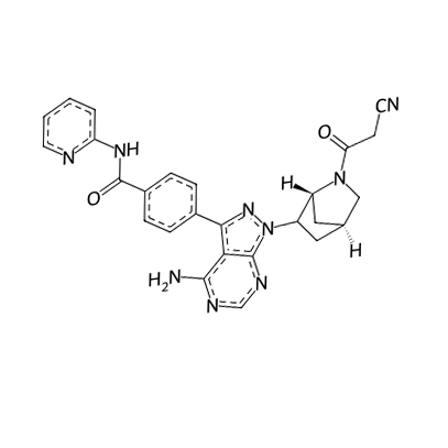 N#CCC(=O)N1C[C@H]2CC(n3nc(-c4ccc(C(=O)Nc5ccccn5)cc4)c4c(N)ncnc43)[C@H]1C2